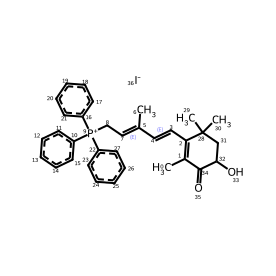 CC1=C(/C=C/C(C)=C/C[P+](c2ccccc2)(c2ccccc2)c2ccccc2)C(C)(C)CC(O)C1=O.[I-]